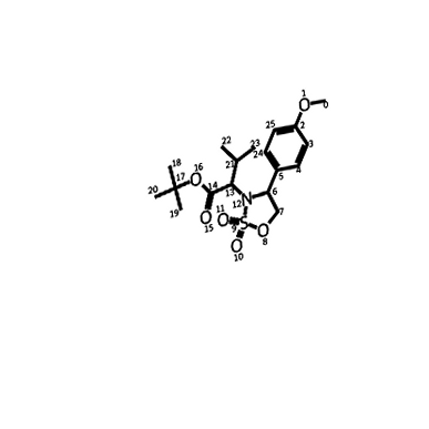 COc1ccc(C2COS(=O)(=O)N2C(C(=O)OC(C)(C)C)C(C)C)cc1